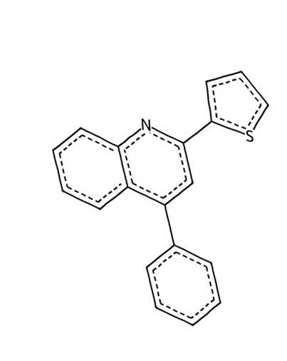 c1ccc(-c2cc(-c3cccs3)nc3ccccc23)cc1